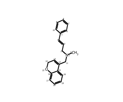 CN(CC=Cc1ccccc1)CC1=CCOc2ccccc21